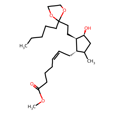 CCCCCC1(CC[C@H]2[C@@H](O)CC(C)[C@@H]2C/C=C\CCCC(=O)OC)OCCO1